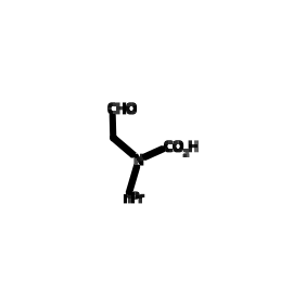 CCCN(CC=O)C(=O)O